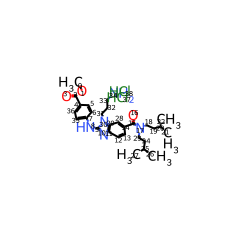 COC(=O)c1ccc(Nc2nc3ccc(C(=O)N(CCC(C)C)CCC(C)C)cc3n2CCCN)cc1.Cl.Cl